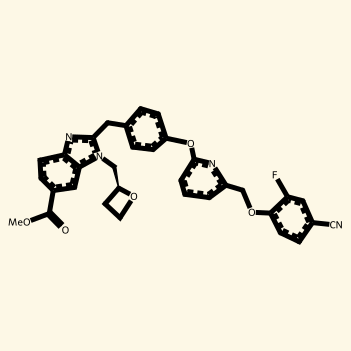 COC(=O)c1ccc2nc(Cc3ccc(Oc4cccc(COc5ccc(C#N)cc5F)n4)cc3)n(C[C@@H]3CCO3)c2c1